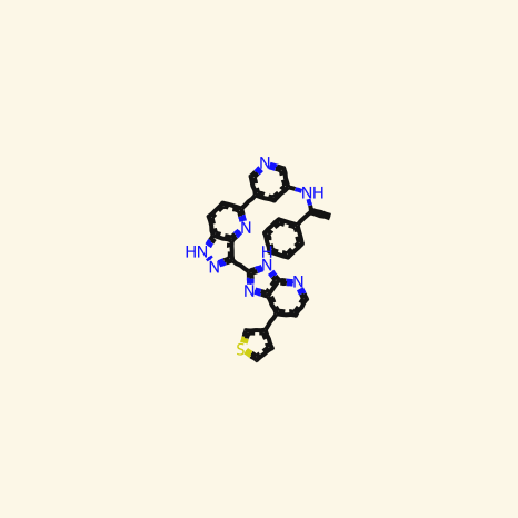 C=C(Nc1cncc(-c2ccc3[nH]nc(-c4nc5c(-c6ccsc6)ccnc5[nH]4)c3n2)c1)c1ccccc1